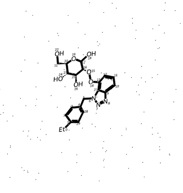 CCc1ccc(Cn2nnc3cccc(OO[C@H]4C(O)O[C@H](CO)[C@@H](O)[C@@H]4O)c32)cc1